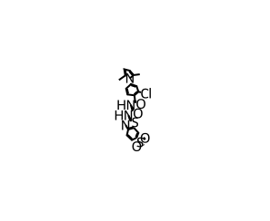 Cc1ccc(C)n1-c1ccc(C(=O)NC(=O)Nc2nc3ccc(S(C)(=O)=O)cc3s2)c(Cl)c1